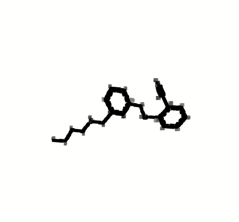 CCCCSCc1cccc(COc2ccccc2C#N)c1